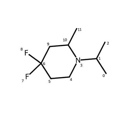 CC(C)N1CCC(F)(F)CC1C